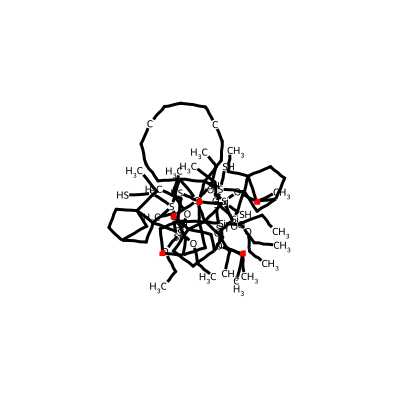 CCO[Si](OCC)(OCC)C1(S(S)(SS)C2(S(S)(SS)C3([Si](OCC)(OCC)OCC)CC4CCC3(CC)C4)CCCCCCCCCCC2(S(S)(SS)C2([Si](OCC)(OCC)OCC)CC3CCC2(CC)C3)S(S)(SS)C2([Si](OCC)(OCC)OCC)CC3CCC2(CC)C3)CC2CCC1(CC)C2